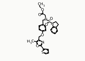 CCOC(=O)CN(Cc1ccc(OCc2nc(-c3cccs3)oc2C)cc1)S(=O)(=O)N1CCc2ccccc21